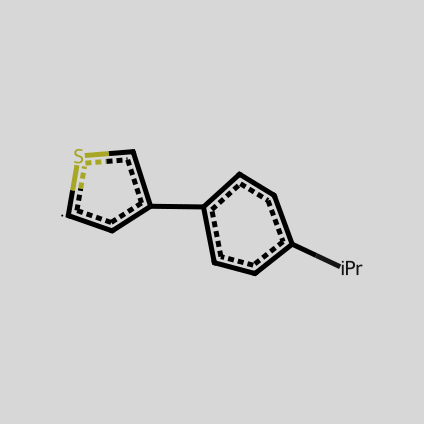 CC(C)c1ccc(-c2c[c]sc2)cc1